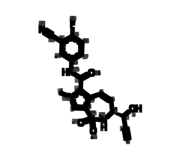 C#CC(O)[C@H]1C=Cc2c(cn(C)c2C(=O)Nc2ccc(F)c(C#N)c2)S(=O)(=O)N1